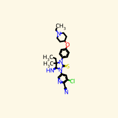 CCN1CCC(Oc2ccc(N3C(=S)N(c4cnc(C#N)c(Cl)c4)C(=N)C3(C)CC)cc2)CC1